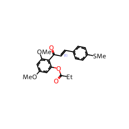 CCC(=O)Oc1cc(OC)cc(OC)c1C(=O)/C=C/c1ccc(SC)cc1